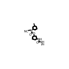 Cc1cccc(N(CC#N)C(=O)Oc2cccc(NC(=O)NC(C)C)c2)c1